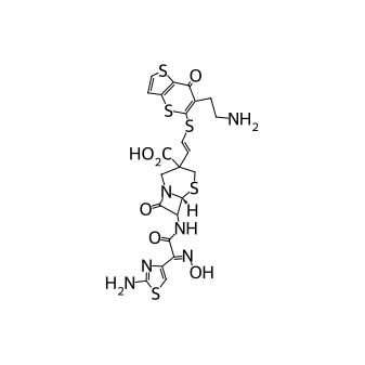 NCCc1c(SC=CC2(C(=O)O)CS[C@@H]3C(NC(=O)C(=NO)c4csc(N)n4)C(=O)N3C2)sc2ccsc2c1=O